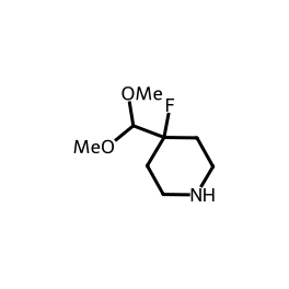 COC(OC)C1(F)CCNCC1